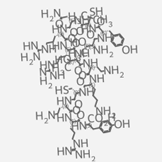 C[C@@H](O)[C@H](N)C(=O)N[C@@H](Cc1ccc(O)cc1)C(=O)N[C@H](C(=O)N[C@@H](CC(N)=O)C(=O)N[C@@H](CCCNC(=N)N)C(=O)N[C@@H](CCCNC(=N)N)C(=O)N[C@H](C(=O)N[C@H](CCN)C(=O)N[C@@H](CCCCN)C(=O)N[C@@H](CS)C(=O)N[C@@H](CCN)C(=O)N[C@@H](CCCNC(=N)N)C(=O)N[C@@H](Cc1ccc(O)cc1)C(=O)O)[C@@H](C)O)C(C)(C)S